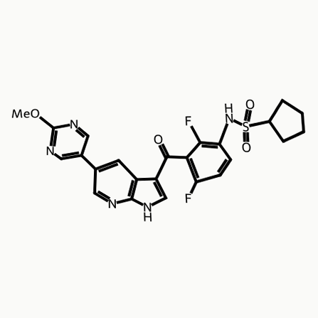 COc1ncc(-c2cnc3[nH]cc(C(=O)c4c(F)ccc(NS(=O)(=O)C5CCCC5)c4F)c3c2)cn1